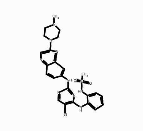 CN1CCN(c2cnc3ccc(Nc4ncc(Cl)c(Nc5ccccc5NS(C)(=O)=O)n4)cc3n2)CC1